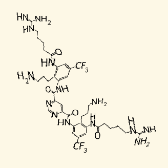 N=C(N)NCCCCC(=O)Nc1cc(C(F)(F)F)cc(NC(=O)c2cc(C(=O)Nc3cc(C(F)(F)F)cc(NC(=O)CCCCNC(=N)N)c3CCCN)ncn2)c1CCCN